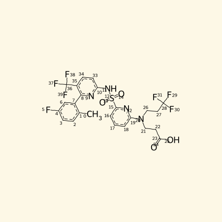 Cc1ccc(F)cc1-c1nc(NS(=O)(=O)c2cccc(N(CCC(=O)O)CCC(F)(F)F)n2)ccc1C(F)(F)F